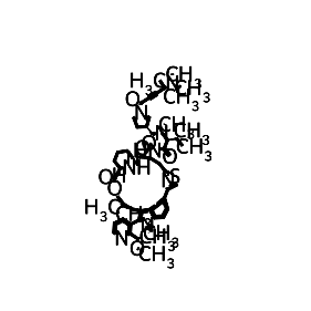 CO[C@@H](C)c1ncccc1-c1c2c3cc(ccc3n1C)-c1csc(n1)C[C@H](NC(=O)[C@H](C(C)C)N(C)C(=O)[C@H]1CCN(C(=O)C#CC(C)(C)N(C)C)C1)C(=O)N1CCC[C@H](N1)C(=O)OCC(C)(C)C2